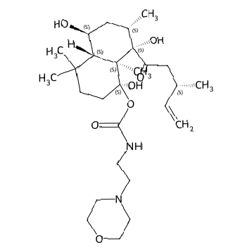 C=C[C@@H](C)CC(=O)[C@]1(O)[C@@H](C)C[C@H](O)[C@H]2C(C)(C)CC[C@](O)(OC(=O)NCCN3CCOCC3)[C@@]21C